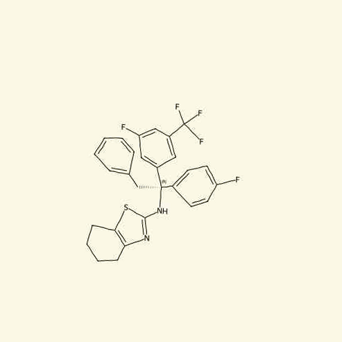 Fc1ccc([C@@](Cc2ccccc2)(Nc2nc3c(s2)CCCC3)c2cc(F)cc(C(F)(F)F)c2)cc1